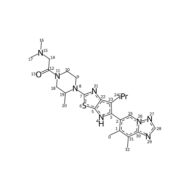 Cc1c(-c2[nH]c3sc(N4CCN(C(=O)CN(C)C)CC4C)nc3c2C(C)C)cn2ncnc2c1C